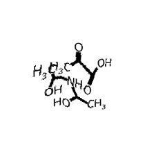 CC(=O)C(=O)O.CC(O)NC(C)O